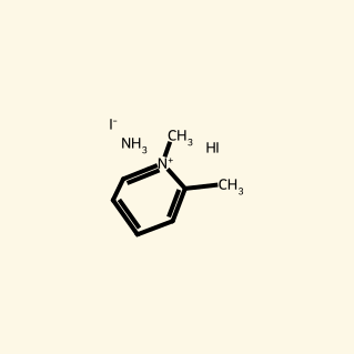 Cc1cccc[n+]1C.I.N.[I-]